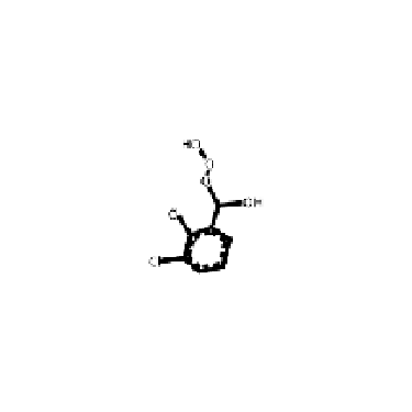 OOOC(O)c1cccc(Cl)c1Cl